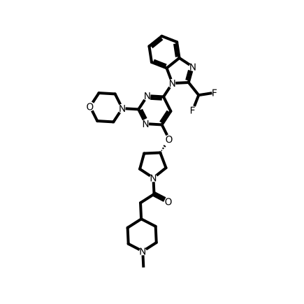 CN1CCC(CC(=O)N2CC[C@H](Oc3cc(-n4c(C(F)F)nc5ccccc54)nc(N4CCOCC4)n3)C2)CC1